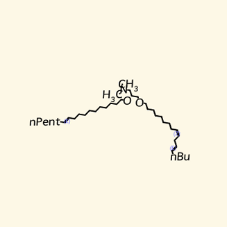 CCCC/C=C/C/C=C\CCCCCCCCOCC(CN(C)C)OCCCCCCCCCC/C=C/CCCCC